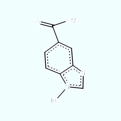 CCn1cnc2cc(C(=O)OC)ccc21